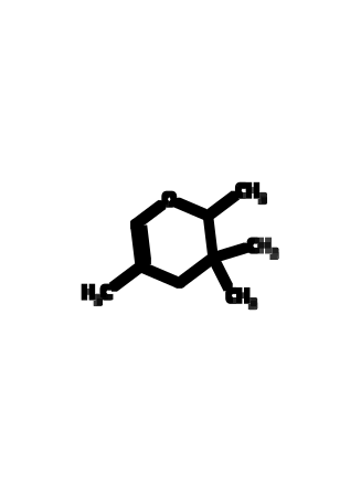 CC1=COC(C)C(C)(C)C1